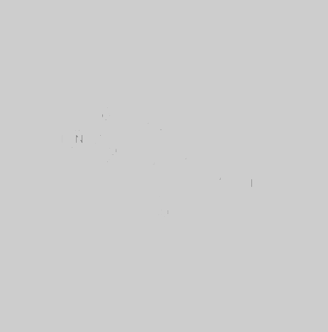 COc1cc2c(cc1-c1cccc(F)c1)CC(C)(C)C2OC(N)=O